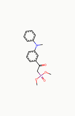 COP(=O)(CC(=O)c1cccc(N(C)c2ccccc2)c1)OC